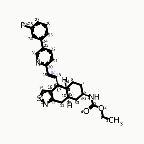 CCOC(=O)N[C@@H]1CC[C@@H]2[C@H](Cc3nscc3[C@H]2/C=C/c2ccc(-c3cccc(F)c3)cn2)C1